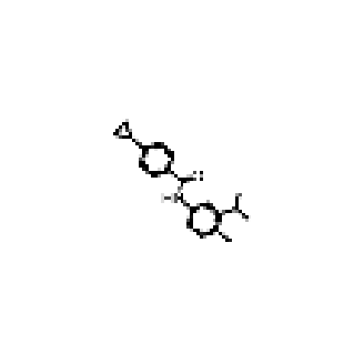 Cc1ccc(NC(=O)c2ccc(C3CC3)cc2)cc1C(C)C